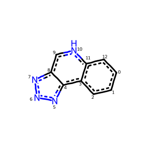 c1ccc2c3nnnc-3c[nH]c2c1